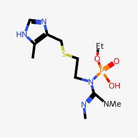 CCOP(=O)(O)N(CCSCc1nc[nH]c1C)C(=NC)NC